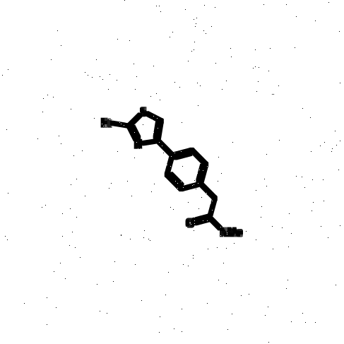 CCc1nc(-c2ccc(CC(=O)NC)cc2)cs1